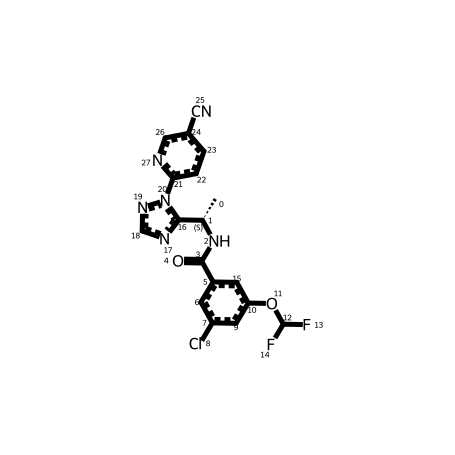 C[C@H](NC(=O)c1cc(Cl)cc(OC(F)F)c1)c1ncnn1-c1ccc(C#N)cn1